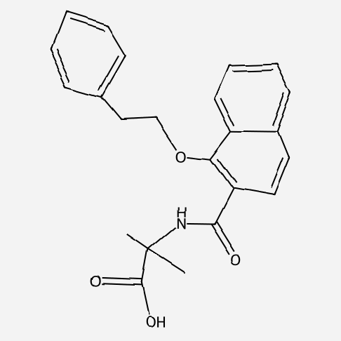 CC(C)(NC(=O)c1ccc2ccccc2c1OCCc1ccccc1)C(=O)O